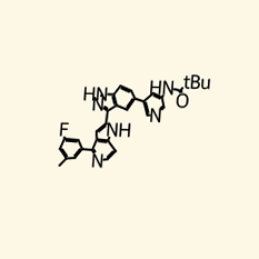 Cc1cc(F)cc(-c2nccc3[nH]c(-c4n[nH]c5ccc(-c6cncc(NC(=O)C(C)(C)C)c6)cc45)cc23)c1